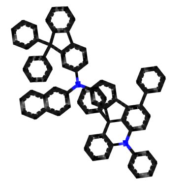 c1ccc(-c2ccc3c4c2-c2ccc(N(c5ccc6c(c5)C(c5ccccc5)(c5ccccc5)c5ccccc5-6)c5ccc6ccccc6c5)cc2C4(c2ccccc2)c2ccccc2N3c2ccccc2)cc1